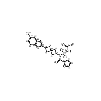 CCCC(=O)NS(=O)(=O)N(C(=O)c1ccco1)C1CC2(CC(c3nc4cc(Cl)ccc4o3)C2)C1